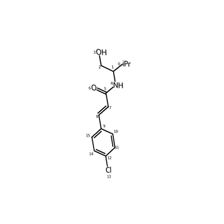 CC(C)C(CO)NC(=O)/C=C/c1ccc(Cl)cc1